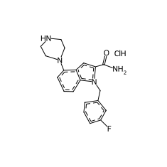 Cl.NC(=O)c1cc2c(N3CCNCC3)cccc2n1Cc1cccc(F)c1